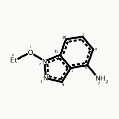 CCOn1ncc2c(N)cccc21